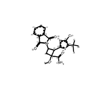 COC1(C(N)=O)CC(N2C(=O)c3ccccc3C2=O)C1c1nc(Cl)c(C(C)(C)C)s1